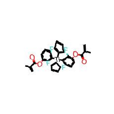 C=C(C)C(=O)Oc1ccc(F)[c]([Ti]([C]2=CC=CC2)([C]2=CC=CC2)[c]2c(F)ccc(OC(=O)C(=C)C)c2F)c1F